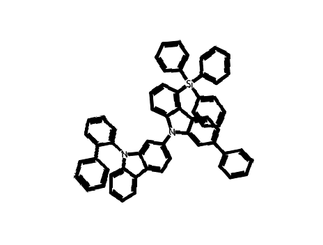 c1ccc(-c2ccc3c4c([Si](c5ccccc5)(c5ccccc5)c5ccccc5)cccc4n(-c4ccc5c6ccccc6n(-c6ccccc6-c6ccccc6)c5c4)c3c2)cc1